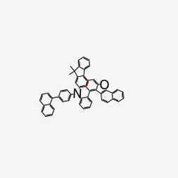 CC1(C)c2ccccc2-c2ccc(N(c3ccc(-c4cccc5ccccc45)cc3)c3ccccc3-c3cccc4oc5c6ccccc6ccc5c34)cc21